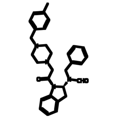 Cc1ccc(CN2CCN(CC(=O)N3c4ccccc4C[C@H]3N(C=O)Cc3ccccc3)CC2)cc1